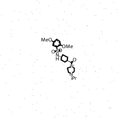 COc1ccc(OC)c(S(=O)(=O)N[C@H]2CC[C@H](C(=O)N3CCN(C(C)C)CC3)CC2)c1